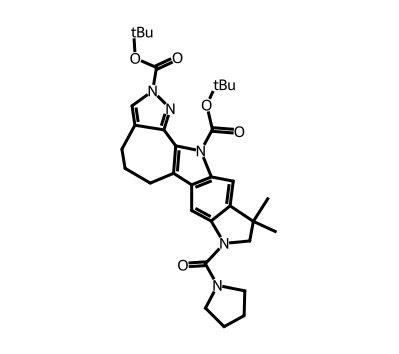 CC(C)(C)OC(=O)n1cc2c(n1)-c1c(c3cc4c(cc3n1C(=O)OC(C)(C)C)C(C)(C)CN4C(=O)N1CCCC1)CCC2